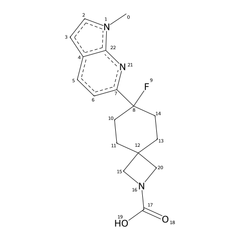 Cn1ccc2ccc(C3(F)CCC4(CC3)CN(C(=O)O)C4)nc21